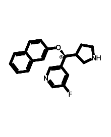 Fc1cncc([C@@H](Oc2ccc3ccccc3c2)C2CCNC2)c1